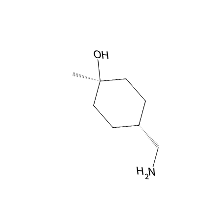 C[C@]1(O)CC[C@H](CN)CC1